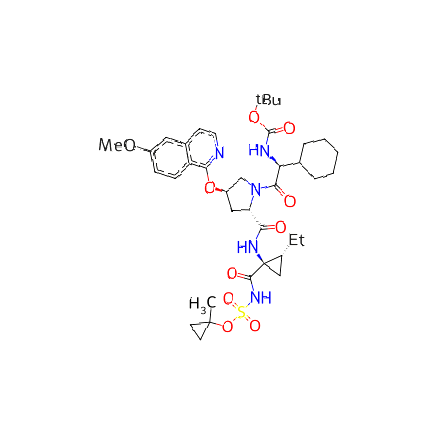 CC[C@@H]1C[C@]1(NC(=O)[C@@H]1C[C@@H](Oc2nccc3cc(OC)ccc23)CN1C(=O)[C@@H](NC(=O)OC(C)(C)C)C1CCCCC1)C(=O)NS(=O)(=O)OC1(C)CC1